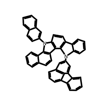 c1ccc2c(c1)-c1cccc3cc(-n4c5ccccc5c5ccc6c(c7ccc8ccccc8c7n6-c6ccc7ccccc7c6)c54)cc-2c13